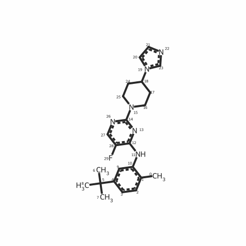 Cc1ccc(C(C)(C)C)cc1Nc1nc(N2CCC(n3ccnc3)CC2)ncc1F